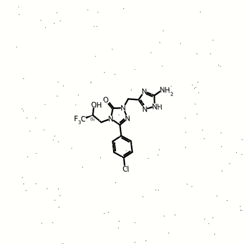 Nc1nc(Cn2nc(-c3ccc(Cl)cc3)n(C[C@H](O)C(F)(F)F)c2=O)n[nH]1